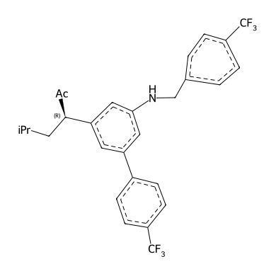 CC(=O)[C@H](CC(C)C)c1cc(NCc2ccc(C(F)(F)F)cc2)cc(-c2ccc(C(F)(F)F)cc2)c1